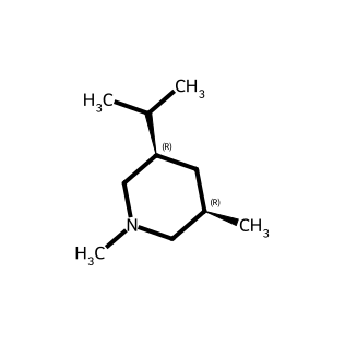 CC(C)[C@H]1C[C@@H](C)CN(C)C1